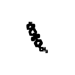 Cc1ccc(S(=O)(=O)N2CCC3(CC=NO3)CC2)cc1